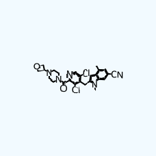 Cc1cc(C#N)cc2c1cc(Cc1c(Cl)cnc(C(=O)N3CCN(C4COC4)CC3)c1Cl)n2C